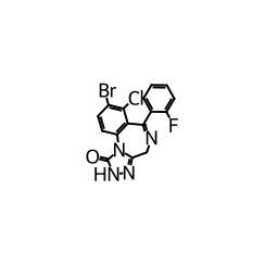 O=c1[nH]nc2n1-c1ccc(Br)c(Cl)c1C(c1ccccc1F)=NC2